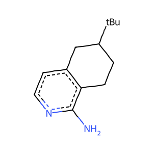 CC(C)(C)C1CCc2c(ccnc2N)C1